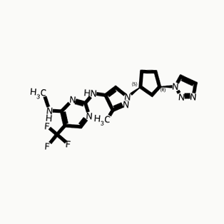 CNc1nc(Nc2cn([C@H]3CC[C@@H](n4ccnn4)C3)nc2C)ncc1C(F)(F)F